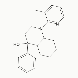 Cc1cccnc1N1CCC(O)(c2ccccc2)C2CCCCC21